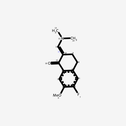 COc1cc2c(cc1F)CC/C(=C\N(C)C)C2=O